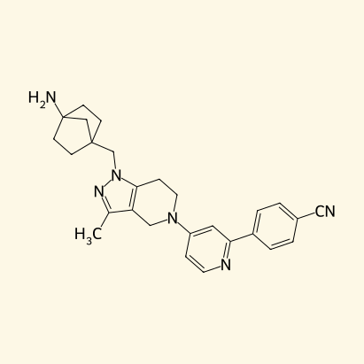 Cc1nn(CC23CCC(N)(CC2)C3)c2c1CN(c1ccnc(-c3ccc(C#N)cc3)c1)CC2